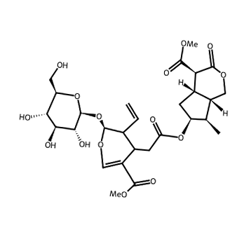 C=CC1C(CC(=O)O[C@H]2C[C@@H]3[C@@H](C(=O)OC)C(=O)OC[C@@H]3[C@H]2C)C(C(=O)OC)=CO[C@H]1O[C@@H]1O[C@H](CO)[C@@H](O)[C@H](O)[C@H]1O